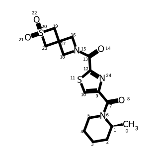 C[C@H]1CCCCN1C(=O)c1csc(C(=O)N2CC3(C2)CS(=O)(=O)C3)n1